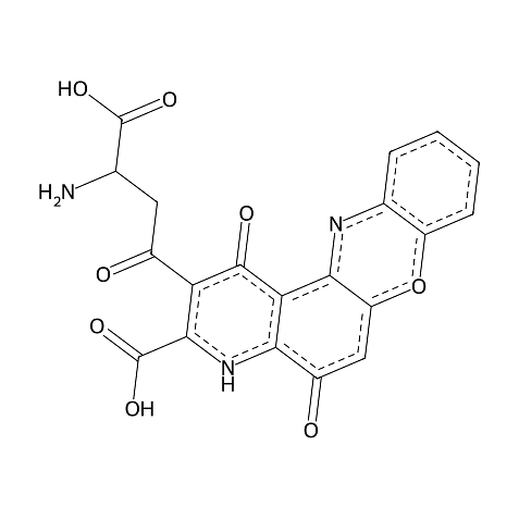 NC(CC(=O)c1c(C(=O)O)[nH]c2c(=O)cc3oc4ccccc4nc-3c2c1=O)C(=O)O